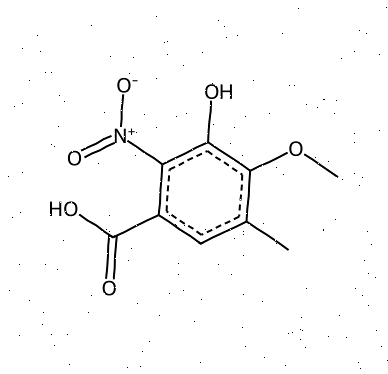 COc1c(C)cc(C(=O)O)c([N+](=O)[O-])c1O